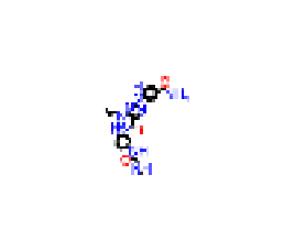 CCCNc1nc(Nc2ccc(C(N)=O)cc2)ncc1C(=O)NC1CCCC(NC(=O)CNC)C1